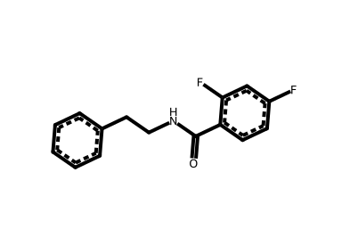 O=C(NCCc1ccccc1)c1ccc(F)cc1F